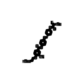 CCCCCCCCCCCCOc1ccc(C(=O)Oc2ccc(OC[C@H]3CC[C@H](OC(=O)[C@@H](F)CCCC)CC3)cc2)cc1C#N